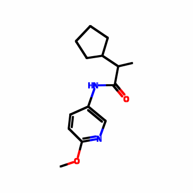 COc1ccc(NC(=O)C(C)C2CCCC2)cn1